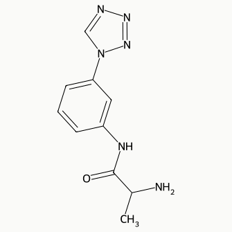 CC(N)C(=O)Nc1cccc(-n2cnnn2)c1